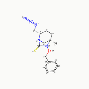 [N-]=[N+]=NC[C@@H]1CC[C@@H]2CN1C(=S)N2OCc1ccccc1